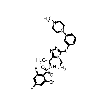 CCn1c(Oc2cccc(N3CCN(C)CC3)c2)nnc1[C@@H](C)NS(=O)(=O)c1c(F)cc(F)cc1Br